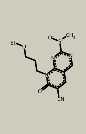 CCOCCCn1c(=O)c(C#N)cc2cnc([S+](C)[O-])nc21